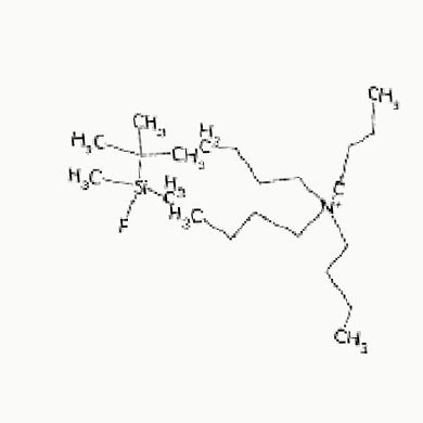 CC(C)(C)[Si](C)(C)F.CCCC[N+](CCCC)(CCCC)CCCC